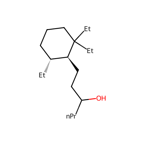 CCCC(O)CC[C@H]1[C@H](CC)CCCC1(CC)CC